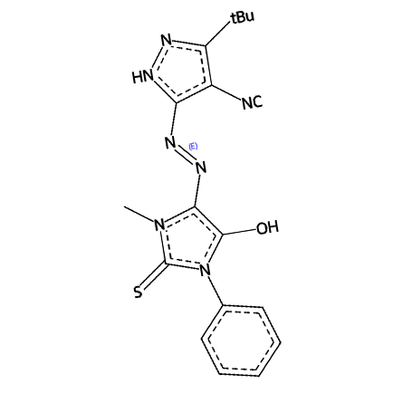 [C-]#[N+]c1c(C(C)(C)C)n[nH]c1/N=N/c1c(O)n(-c2ccccc2)c(=S)n1C